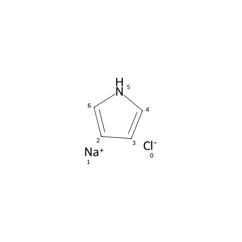 [Cl-].[Na+].c1cc[nH]c1